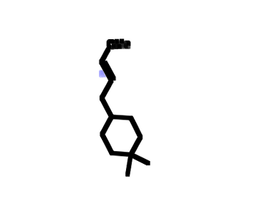 CO/C=C/CC1CCC(C)(C)CC1